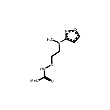 CNC(=O)NSCCN(C)c1ccon1